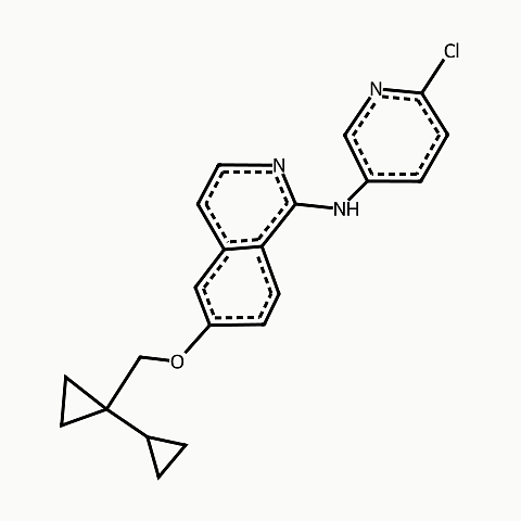 Clc1ccc(Nc2nccc3cc(OCC4(C5CC5)CC4)ccc23)cn1